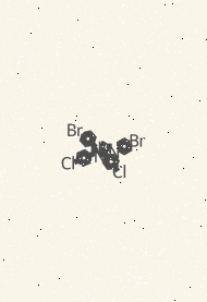 C/C(=N\c1ccc(Br)cc1)C1(c2ccc(Cl)cc2)N=C(c2ccc(Cl)cc2)N(c2ccc(Br)cc2)C1C